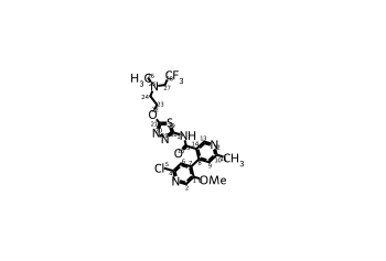 COc1cnc(Cl)cc1-c1cc(C)ncc1C(=O)Nc1nnc(OCCN(C)CC(F)(F)F)s1